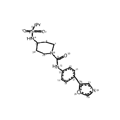 CC(C)S(=O)(=O)NC1CCN(C(=O)Nc2ccc(-c3cnco3)cc2)CC1